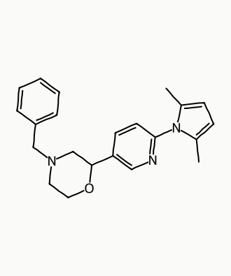 Cc1ccc(C)n1-c1ccc(C2CN(Cc3ccccc3)CCO2)cn1